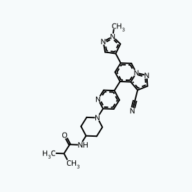 CC(C)C(=O)NC1CCN(c2ccc(-c3cc(-c4cnn(C)c4)cn4ncc(C#N)c34)cn2)CC1